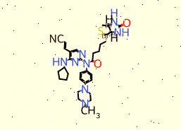 CN1CCN(c2ccc(N(C(=O)CCCC[C@@H]3SC[C@@H]4NC(=O)N[C@@H]43)c3ncc(C=CC#N)c(NC4CCCC4)n3)cc2)CC1